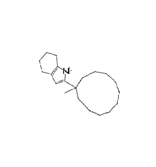 CC1(C2=CC3=C(CCCC3)[N]2)CCCCCCCCCC1